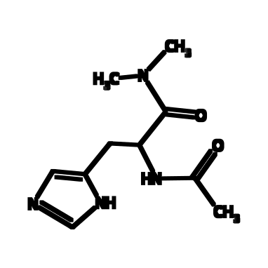 CC(=O)NC(Cc1cnc[nH]1)C(=O)N(C)C